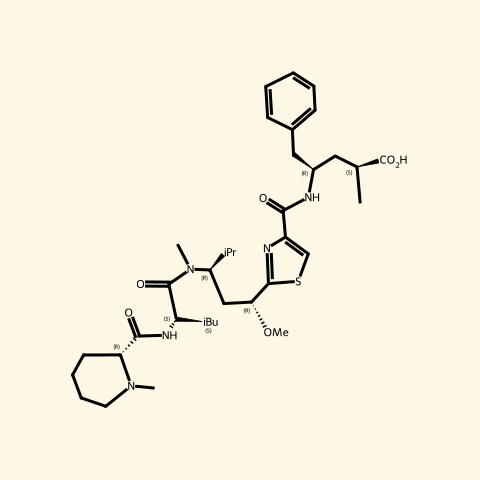 CC[C@H](C)[C@H](NC(=O)[C@H]1CCCCN1C)C(=O)N(C)[C@H](C[C@@H](OC)c1nc(C(=O)N[C@@H](Cc2ccccc2)C[C@H](C)C(=O)O)cs1)C(C)C